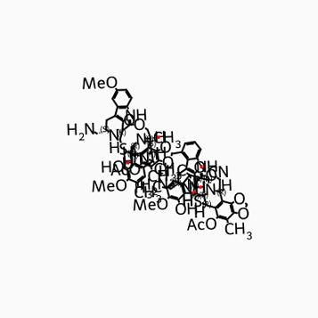 COc1ccc2[nH]c3c(c2c1)C[C@@H](CN)N[C@]31CS[C@@H]2c3c(OC(C)=O)c(C)c4c(c3[C@H](COC1=O)N1[C@@H]2[C@H]2c3c(cc(C)c(OC)c3O)C3(C)[C@@H]([C@@H]1C)N23)OC(c1cccc2[nH]c3c(c12)C[C@H](CN)N[C@]31CS[C@@H]2c3c(OC(C)=O)c(C)c5c(c3[C@H](COC1=O)N1[C@@H]2[C@H]2c3c(cc(C)c(OC)c3O)C3(C)[C@@H]([C@@H]1C#N)N23)OCO5)O4